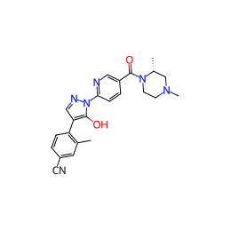 Cc1cc(C#N)ccc1-c1cnn(-c2ccc(C(=O)N3CCN(C)C[C@H]3C)cn2)c1O